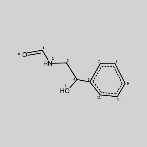 O=CNCC(O)c1ccccc1